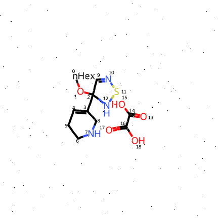 CCCCCCOC1(C2=CCCNC2)C=NSN1.O=C(O)C(=O)O